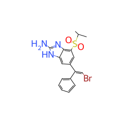 CC(C)S(=O)(=O)c1cc(/C(=C/Br)c2ccccc2)cc2[nH]c(N)nc12